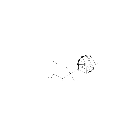 C=CCC(CC=C)(CCC)[C]12[CH]3[CH]4[CH]5[CH]1[Fe]45321678[CH]2[CH]1[CH]6[CH]7[CH]28